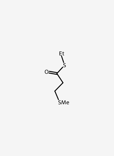 CCSC(=O)CCSC